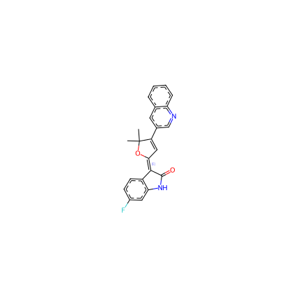 CC1(C)O/C(=C2/C(=O)Nc3cc(F)ccc32)C=C1c1cnc2ccccc2c1